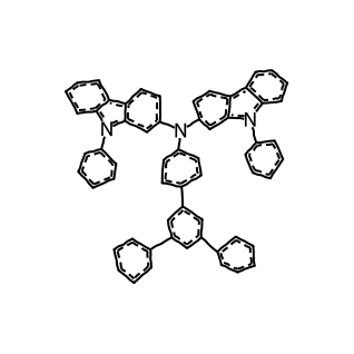 c1ccc(-c2cc(-c3ccccc3)cc(-c3ccc(N(c4ccc5c6ccccc6n(-c6ccccc6)c5c4)c4ccc5c6ccccc6n(-c6ccccc6)c5c4)cc3)c2)cc1